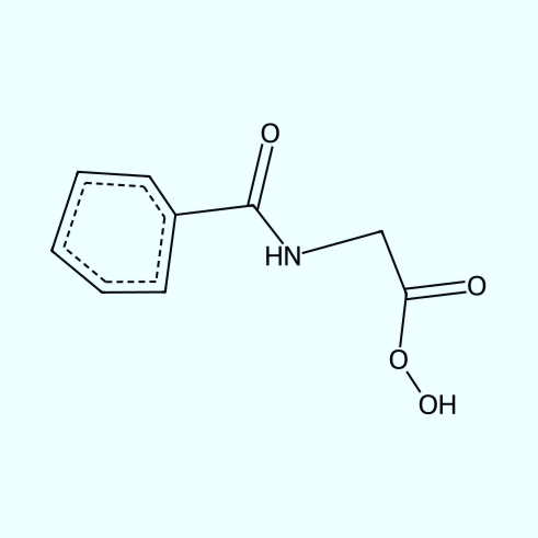 O=C(CNC(=O)c1ccccc1)OO